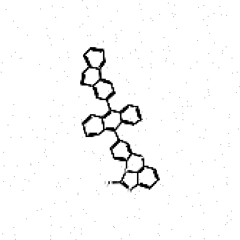 Cc1nc2cccc3c2n1-c1ccc(-c2c4ccccc4c(-c4ccc5c(ccc6ccccc65)c4)c4ccccc24)cc1S3